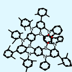 Cc1cc(C)c(N2c3cc4c(cc3B3c5cc6c(cc5N(c5c(C)cc(C)cc5C)c5cc(-c7c(C)cccc7C)cc2c53)N(c2c(C)cc(C)cc2C)c2cc(-c3c(C)cccc3C)cc3c2B6c2cccc5c6ccccc6n-3c25)B2c3c(cc(-c5c(C)cccc5C)cc3-n3c5ccccc5c5cccc2c53)N4c2ccccc2)c(C)c1